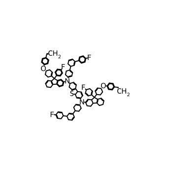 C=Cc1ccc(OC2C=CC(C3(C4=CCC(F)C=C4)C4=C(CCC=C4)C4CCC(N(C5=CC6SC7=C(C=CC(N(C8=CC=C(C9C=C(c%10ccc(F)cc%10)C=CC9)CC8)c8ccc9c(c8)C(C8=CCC(Oc%10ccc(C=C)cc%10)CC8)(c8ccc(F)cc8)C8=C9CCC=C8)C7)C6C=C5)C5=CCC(C6=CC(C7C=CC(F)=CC7)CC=C6)CC5)=CC43)CC2)cc1